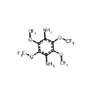 Nc1c(OC(F)(F)F)c(OC(F)(F)F)c(N)c(OC(F)(F)F)c1OC(F)(F)F